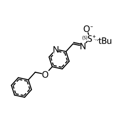 CC(C)(C)[S@@+]([O-])N=Cc1ccc(OCc2ccccc2)cn1